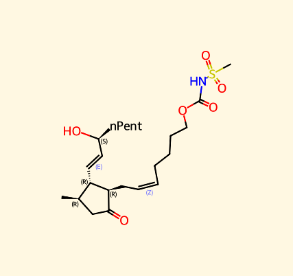 CCCCC[C@H](O)/C=C/[C@H]1[C@H](C)CC(=O)[C@@H]1C/C=C\CCCCOC(=O)NS(C)(=O)=O